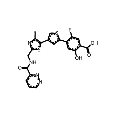 Cc1nc(CNC(=O)c2cccnn2)sc1-c1csc(-c2cc(O)c(C(=O)O)cc2F)c1